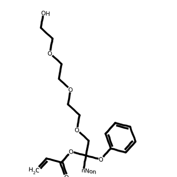 C=CC(=O)OC(CCCCCCCCC)(COCCOCCOCCO)Oc1ccccc1